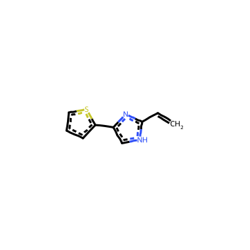 C=Cc1nc(-c2cccs2)c[nH]1